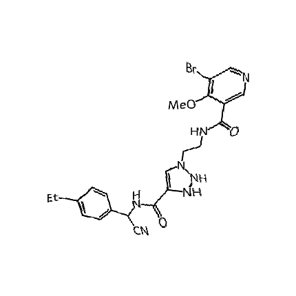 CCc1ccc(C(C#N)NC(=O)C2=CN(CCNC(=O)c3cncc(Br)c3OC)NN2)cc1